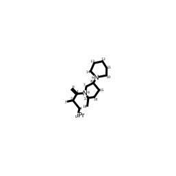 C=C(C(C)CC(C)C)N1CC(N2CCCCC2)CCC1C